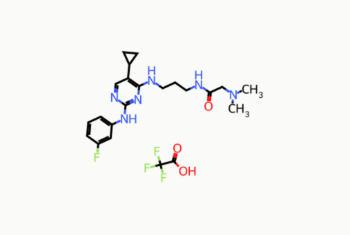 CN(C)CC(=O)NCCCNc1nc(Nc2cccc(F)c2)ncc1C1CC1.O=C(O)C(F)(F)F